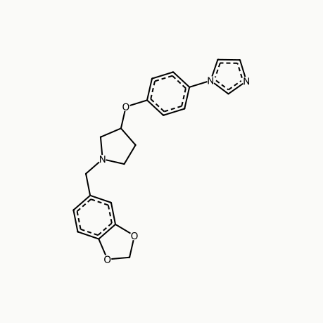 c1cn(-c2ccc(OC3CCN(Cc4ccc5c(c4)OCO5)C3)cc2)cn1